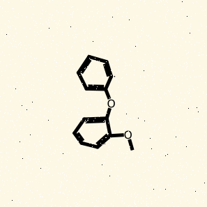 COc1ccccc1Oc1[c]cccc1